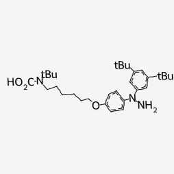 CC(C)(C)c1cc(N(N)c2ccc(OCCCCCCN(C(=O)O)C(C)(C)C)cc2)cc(C(C)(C)C)c1